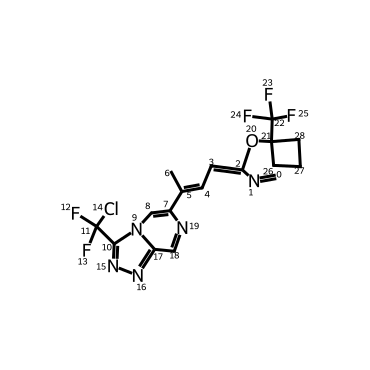 C=N/C(=C\C=C(/C)c1cn2c(C(F)(F)Cl)nnc2cn1)OC1(C(F)(F)F)CCC1